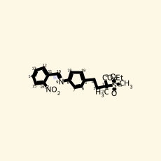 CCOC(=O)C(C)(CCc1ccc(/N=C/c2ccccc2[N+](=O)[O-])cc1)S(C)(=O)=O